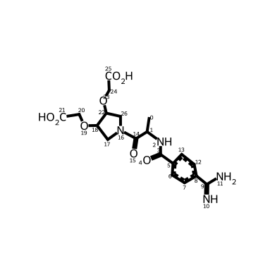 CC(NC(=O)c1ccc(C(=N)N)cc1)C(=O)N1CC(OCC(=O)O)C(OCC(=O)O)C1